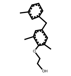 Cc1cccc(Cc2cc(C)c(OCCO)c(C)c2)c1